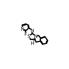 Fc1ncccc1N=C1SC[C@@H]2Cc3ccccc3CN12